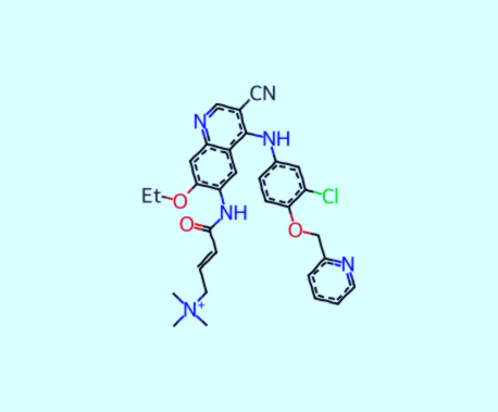 CCOc1cc2ncc(C#N)c(Nc3ccc(OCc4ccccn4)c(Cl)c3)c2cc1NC(=O)C=CC[N+](C)(C)C